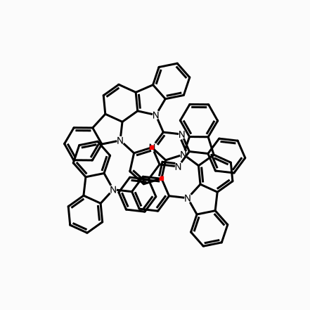 C1=CC2c3ccccc3N(c3cccc(-n4c5ccccc5c5ccc6c7ccccc7n(-c7ccc(-n8c9ccccc9c9ccccc98)cc7)c6c54)c3)C2c2c1c1ccccc1n2-c1nc(-c2ccccc2)nc(-c2ccccc2)n1